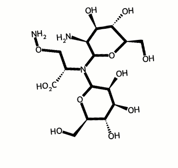 NOC[C@@H](C(=O)O)N(C1O[C@H](CO)[C@@H](O)[C@H](O)[C@@H]1N)C1O[C@H](CO)[C@@H](O)[C@H](O)[C@@H]1O